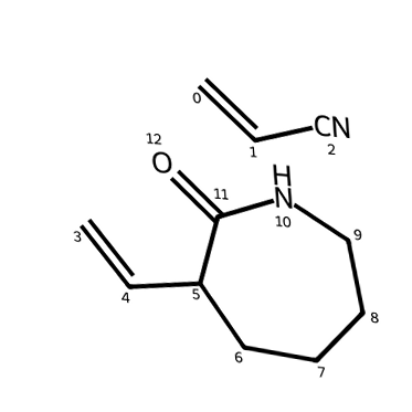 C=CC#N.C=CC1CCCCNC1=O